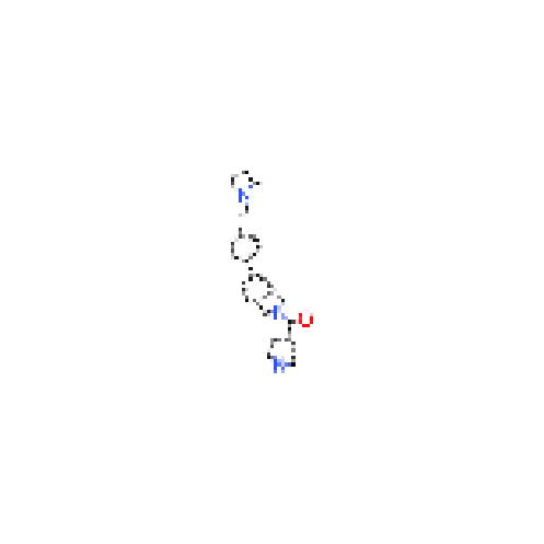 CC1CCCN1CCc1ccc(-c2ccc3cn(C(=O)c4ccncc4)cc3c2)cc1